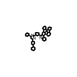 c1ccc(-c2ccc(-c3cc(-c4ccccc4)nc(-c4cccc(-c5nc6ccccc6c6cc7c(cc56)-c5ccccc5C75c6ccccc6-c6ccccc65)c4)n3)cc2)cc1